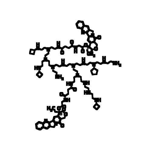 CC[C@@]1(OC(=O)CNC(=O)CCC(=O)NCCN(CCNCCNCCNC2CCC2)CCN(CCNCCN(CCN)CCN(CCNC2CCC2)CCN(CCNC(=O)CCC(=O)NCC(=O)O[C@]2(CC)C(=O)OCc3c2cc2n(c3=O)Cc3cc4ccccc4nc3-2)CCNC2CCC2)CCNCCN(CCNCCN)C2CCCC2)C(=O)OCc2c1cc1n(c2=O)Cc2cc3ccccc3nc2-1